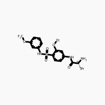 CCOc1cc(NC(=O)[C@H](N)C(C)C)ccc1S(=O)(=O)Nc1cccc(OC(F)(F)F)c1